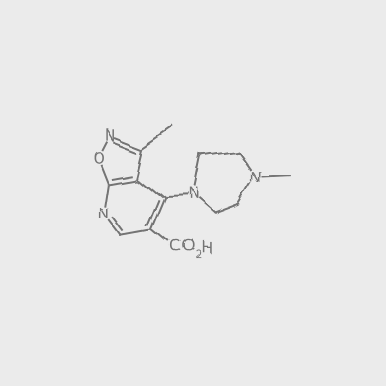 Cc1noc2ncc(C(=O)O)c(N3CCN(C)CC3)c12